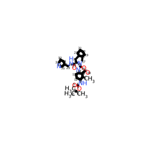 Cc1c(NC(=O)OC(C)(C)C)ccc2nc(N3Cc4ccccc4C[C@H]3C(=O)NCc3cccnc3)oc(=O)c12